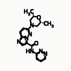 C[C@@H]1CN(c2ccc3ncc(C(=O)Nc4cccnn4)n3n2)C[C@H](C)O1